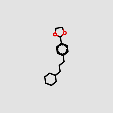 c1cc(C2OCCO2)ccc1CCCC1CCCCC1